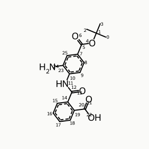 CC(C)(C)OC(=O)c1ccc(NC(=O)c2ccccc2C(=O)O)c(N)c1